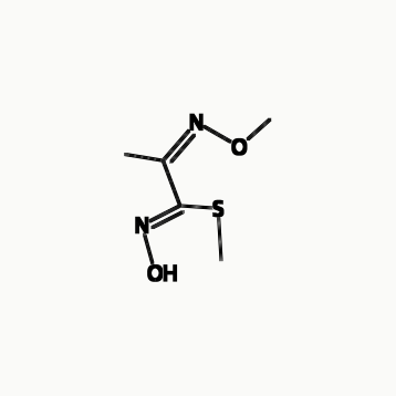 CON=C(C)C(=NO)SC